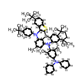 Cc1cc2c3c(c1)N(c1ccc(C(C)(C)C)cc1)c1c(sc4ccc(C(C)(C)C)cc14)B3c1cc3c(cc1N2c1c(C)cc(N(c2ccccc2)c2ccccc2)cc1C)C(C)(C)CCC3(C)C